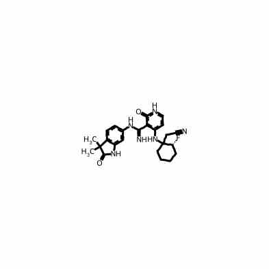 CC1(C)C(=O)Nc2cc(NC(=N)c3c(NC4(CC#N)CCCC[C@H]4F)cc[nH]c3=O)ccc21